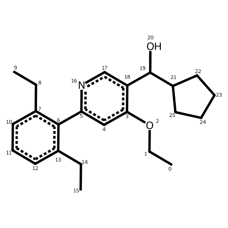 CCOc1cc(-c2c(CC)cccc2CC)ncc1C(O)C1CCCC1